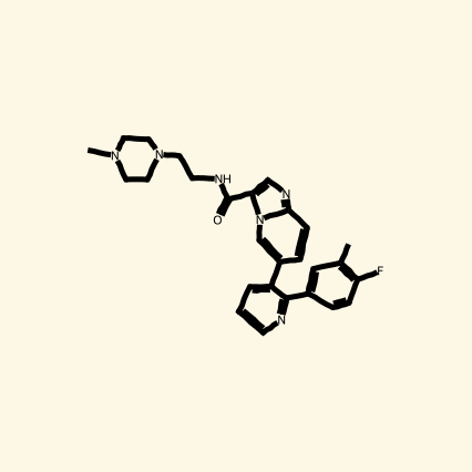 Cc1cc(-c2ncccc2-c2ccc3ncc(C(=O)NCCN4CCN(C)CC4)n3c2)ccc1F